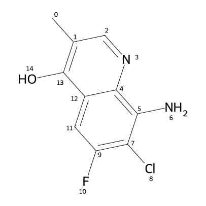 Cc1cnc2c(N)c(Cl)c(F)cc2c1O